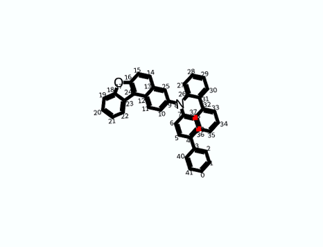 c1ccc(-c2ccc(N(c3ccc4c(ccc5oc6ccccc6c54)c3)c3ccccc3-c3ccccc3)cc2)cc1